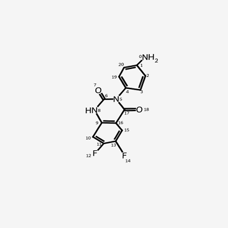 Nc1ccc(-n2c(=O)[nH]c3cc(F)c(F)cc3c2=O)cc1